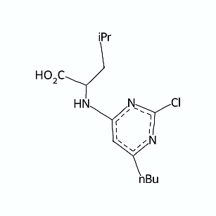 CCCCc1cc(NC(CC(C)C)C(=O)O)nc(Cl)n1